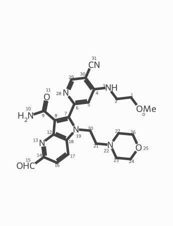 COCCNc1cc(-c2c(C(N)=O)c3nc(C=O)ccc3n2CCN2CCOCC2)ncc1C#N